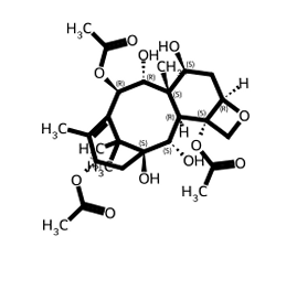 CC(=O)O[C@H]1C[C@@]2(O)[C@@H](O)[C@@H]3[C@]4(OC(C)=O)CO[C@@H]4C[C@H](O)[C@@]3(C)[C@@H](O)[C@H](OC(C)=O)C(=C1C)C2(C)C